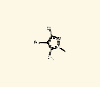 Cn1nc(Cl)c(C(C)(C)C)c1C(F)(F)F